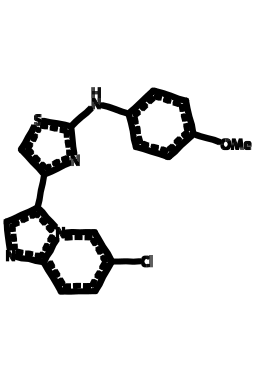 COc1ccc(Nc2nc(-c3cnc4ccc(Cl)cn34)cs2)cc1